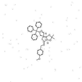 COc1ccc(CO[C@H]2C[C@@](C=O)(COC(c3ccccc3)(c3ccccc3)c3ccccc3)[C@H]3OC(C)(C)O[C@@H]23)cc1